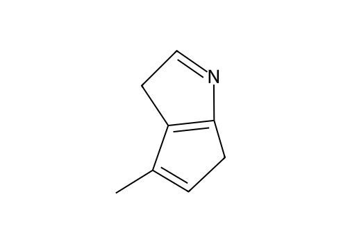 CC1=CCC2=C1CC=N2